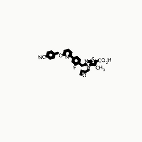 Cc1c(C(=O)O)sc2nc(Cc3ccc(-c4cccc(OCc5ccc(C#N)cc5)n4)cc3F)n(CC3CCO3)c12